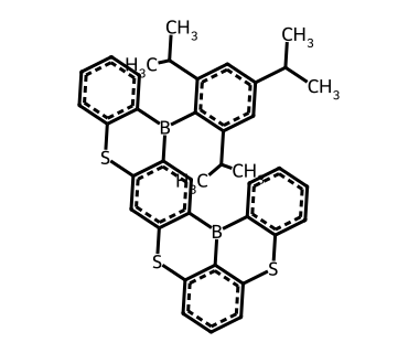 CC(C)c1cc(C(C)C)c(B2c3ccccc3Sc3cc4c(cc32)B2c3ccccc3Sc3cccc(c32)S4)c(C(C)C)c1